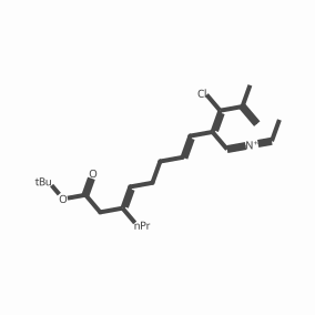 C=C(C)/C(Cl)=C(C=[N+]=CC)/C=C/CC/C=C(\CCC)CC(=O)OC(C)(C)C